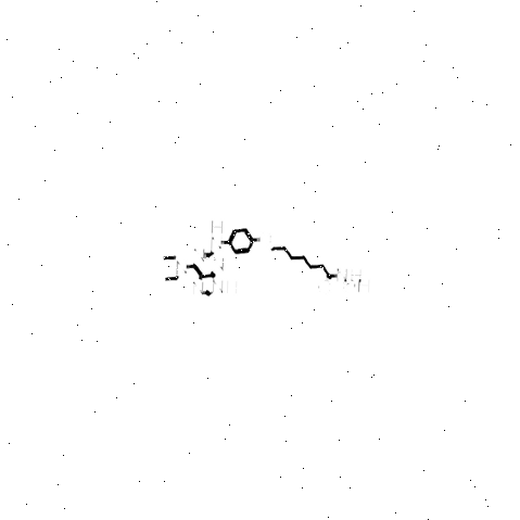 CCN(CC)c1nc(Nc2ccc(OCCCCCCC(=O)NO)cc2)nc2[nH]cnc12